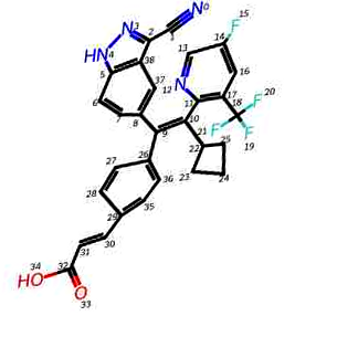 N#Cc1n[nH]c2ccc(C(=C(c3ncc(F)cc3C(F)(F)F)C3CCC3)c3ccc(C=CC(=O)O)cc3)cc12